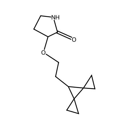 O=C1NCCC1OCCC1C2(CC2)C12CC2